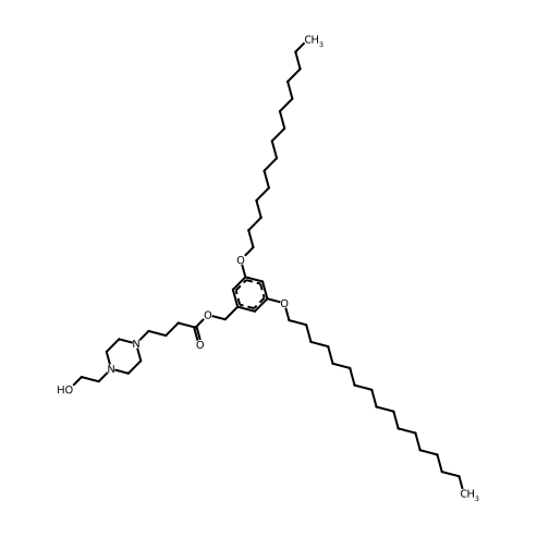 CCCCCCCCCCCCCCCCCOc1cc(COC(=O)CCCN2CCN(CCO)CC2)cc(OCCCCCCCCCCCCCCC)c1